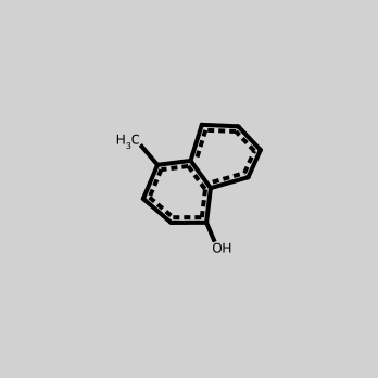 Cc1ccc(O)c2ccccc12